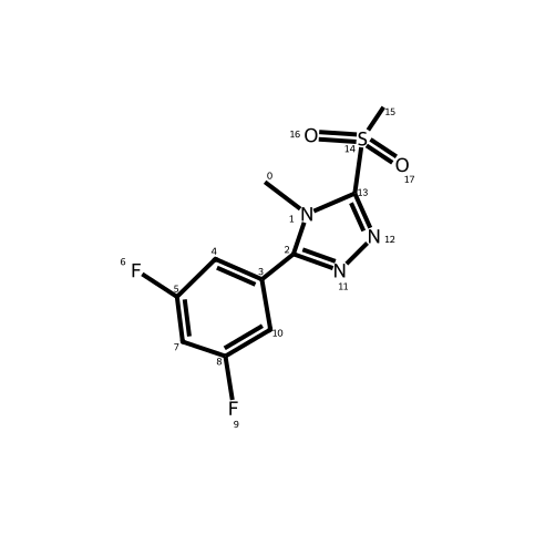 Cn1c(-c2cc(F)cc(F)c2)nnc1S(C)(=O)=O